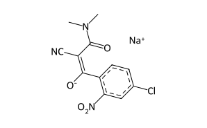 CN(C)C(=O)C(C#N)=C([O-])c1ccc(Cl)cc1[N+](=O)[O-].[Na+]